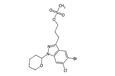 CS(=O)(=O)OCCCc1nn(C2CCCCO2)c2cc(Cl)c(Br)cc12